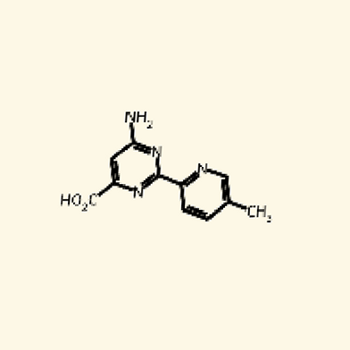 Cc1ccc(-c2nc(N)cc(C(=O)O)n2)nc1